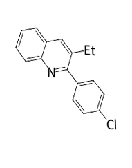 CCc1cc2ccccc2nc1-c1ccc(Cl)cc1